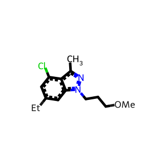 CCc1cc(Cl)c2c(C)nn(CCCOC)c2c1